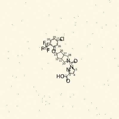 O=C(O)c1ccn(C(=O)N2CC3CC(Oc4cc(Cl)ccc4C(F)(F)F)CC3C2)n1